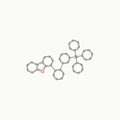 c1ccc([Si](c2ccccc2)(c2ccccc2)c2cccc(-c3ccccc3-c3cccc4c3oc3ccccc34)c2)cc1